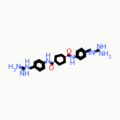 N=C(N)NCc1ccc(NC(=O)[C@H]2CC[C@@H](C(=O)Nc3ccc(CNC(=N)N)cc3)CC2)cc1